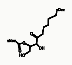 CCCCCCCCCCCCCCCC(=O)C(O)C(CO)OC(=O)CCCCCCCCC